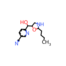 CCCCC1NCC(C(O)c2ccc(C#N)cn2)O1